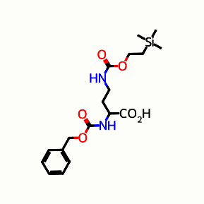 C[Si](C)(C)CCOC(=O)NCCC(NC(=O)OCc1ccccc1)C(=O)O